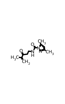 C=C(C)C(=O)CCNC(=O)n1nc(C)cc1C